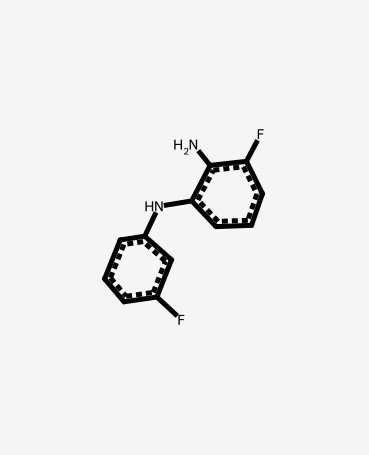 Nc1c(F)cccc1Nc1cccc(F)c1